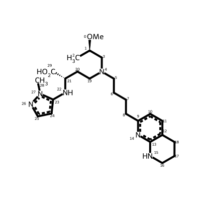 CO[C@H](C)CN(CCCCc1ccc2c(n1)NCCC2)CC[C@H](Nc1ccnn1C)C(=O)O